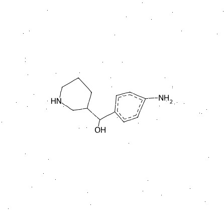 Nc1ccc(C(O)C2CCCNC2)cc1